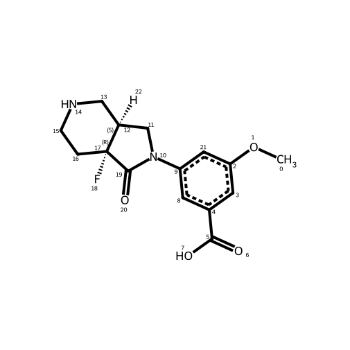 COc1cc(C(=O)O)cc(N2C[C@@H]3CNCC[C@]3(F)C2=O)c1